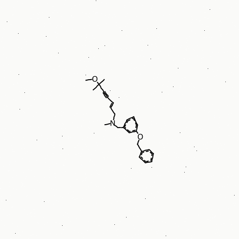 COC(C)(C)C#CC=CCN(C)Cc1cccc(OCc2ccccc2)c1